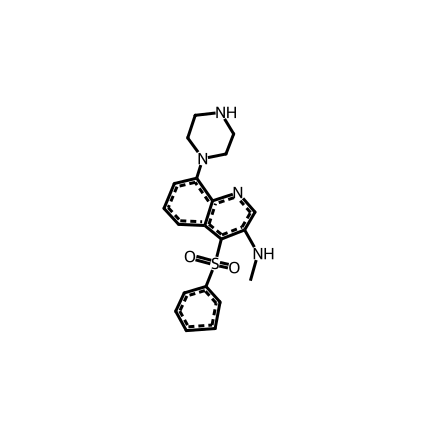 CNc1cnc2c(N3CCNCC3)cccc2c1S(=O)(=O)c1ccccc1